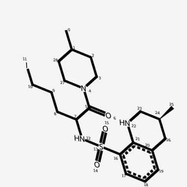 CC1CCN(C(=O)C(CCCI)NS(=O)(=O)c2cccc3c2NC[C@@H](C)C3)CC1